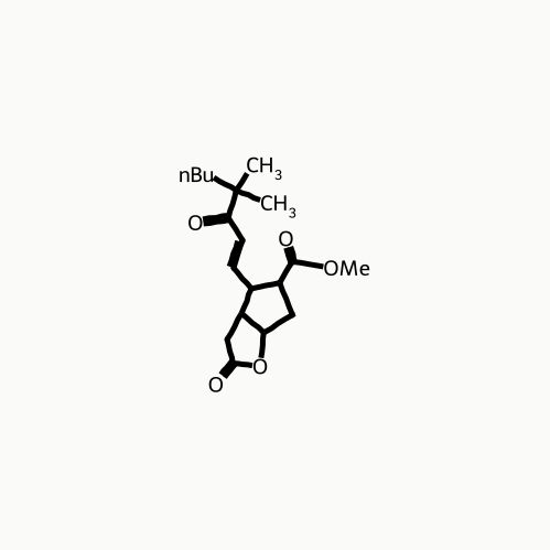 CCCCC(C)(C)C(=O)/C=C/C1C(C(=O)OC)CC2OC(=O)CC21